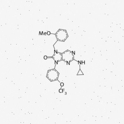 COc1ccccc1Cn1c(=O)n(-c2cccc(OC(F)(F)F)c2)c2nc(NC3CC3)ncc21